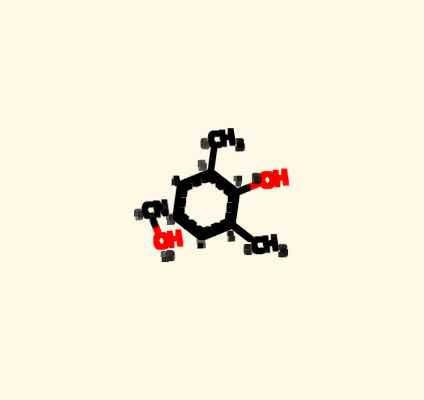 Cc1cccc(C)c1O.N#CO